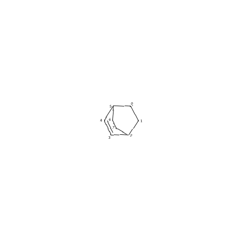 [CH]1CC2C=CC1CC2